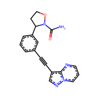 NC(=O)N1OCCC1c1cccc(C#Cc2cnn3cccnc23)c1